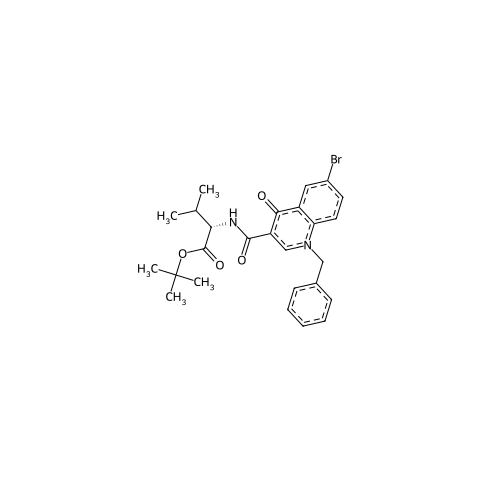 CC(C)[C@H](NC(=O)c1cn(Cc2ccccc2)c2ccc(Br)cc2c1=O)C(=O)OC(C)(C)C